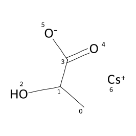 CC(O)C(=O)[O-].[Cs+]